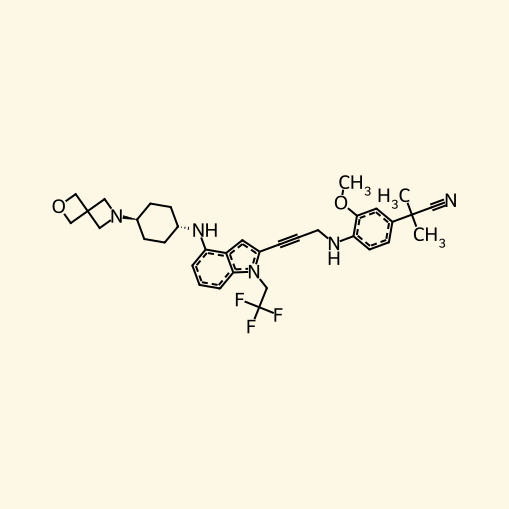 COc1cc(C(C)(C)C#N)ccc1NCC#Cc1cc2c(N[C@H]3CC[C@H](N4CC5(COC5)C4)CC3)cccc2n1CC(F)(F)F